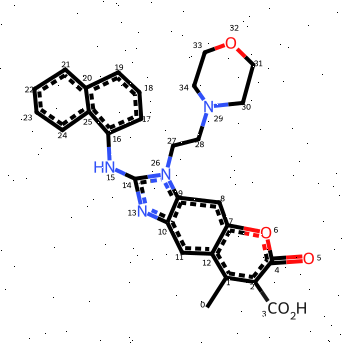 Cc1c(C(=O)O)c(=O)oc2cc3c(cc12)nc(Nc1cccc2ccccc12)n3CCN1CCOCC1